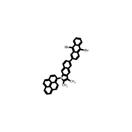 Cc1c(C)n(-c2ccc3ccc4cccc5ccc2c3c45)c2cc3ccc(-c4ccc5c(C(C)(C)C)c6ccccc6c(C(C)(C)C)c5c4)cc3cc12